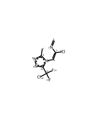 C=N/C(Cl)=C\n1c(C)nnc1C(F)(F)Cl